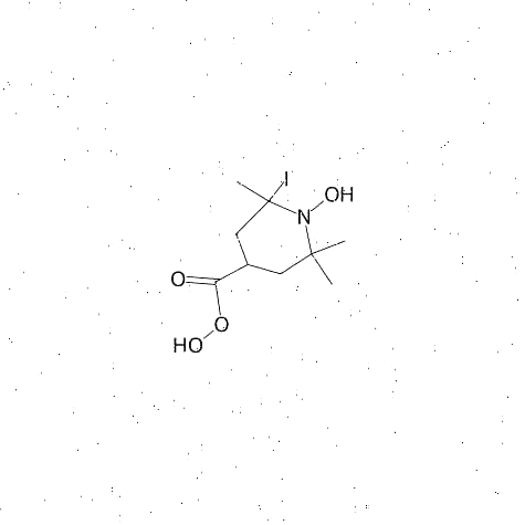 CC1(C)CC(C(=O)OO)CC(C)(I)N1O